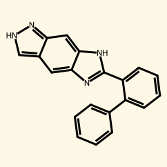 c1ccc(-c2ccccc2-c2nc3cc4c[nH]nc4cc3[nH]2)cc1